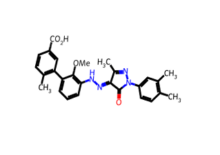 COc1c(N/N=C2/C(=O)N(c3ccc(C)c(C)c3)N=C2C)cccc1-c1cc(C(=O)O)ccc1C